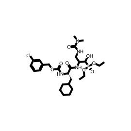 CCOP(=O)(OCC)C(O)C(CNC(=O)N(C)C)NC(=O)[C@H](CC1CCCCC1)NC(=O)OCc1cccc(Cl)c1